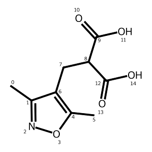 Cc1noc(C)c1CC(C(=O)O)C(=O)O